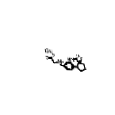 CC(C)(C)OC(=O)CNCc1ccc2c(c1)NC(=O)C1(F)CCCC21